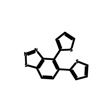 c1csc(-c2ccc3snnc3c2-c2cccs2)c1